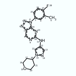 Cc1cc(-n2nnc3cnc(Nc4cnn(C5CCOCC5)c4)nc32)ccc1F